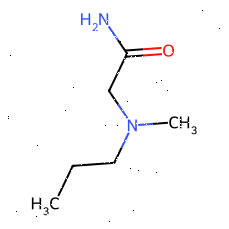 CCCN(C)CC(N)=O